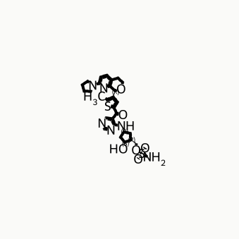 Cc1sc(C(=O)c2cncnc2N[C@@H]2C[C@H](COS(N)(=O)=O)[C@@H](O)C2)cc1[C@H]1OCCc2ccc(N3CCCC3)nc21